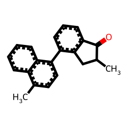 Cc1ccc(-c2cccc3c2CC(C)C3=O)c2ccccc12